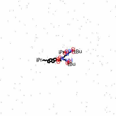 CC(C)CCCCC1CCC2C3CC=C4CC(OC(=O)C(C)C(=O)N(CCCCN(CCCNC(=O)OC(C)(C)C)C(=O)OC(C)C)CCCNC(=O)OC(C)(C)C)CCC4(C)C3CCC12C